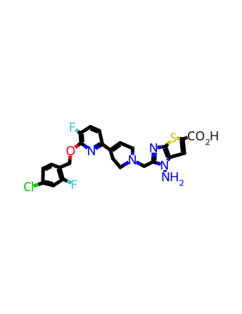 Nn1c(CN2CC=C(c3ccc(F)c(OCc4ccc(Cl)cc4F)n3)CC2)nc2sc(C(=O)O)cc21